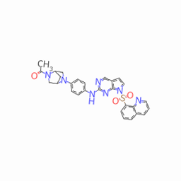 CC(=O)N1CC2CC1CN2c1ccc(Nc2ncc3ccn(S(=O)(=O)c4cccc5cccnc45)c3n2)cc1